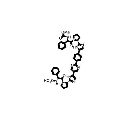 COC(=O)N[C@@H](C(=O)N1CCC[C@H]1c1ncc(-c2ccc(-c3ncc(-c4cnc([C@@H]5CCCN5C(=O)[C@@H](c5ccccc5)N(C)C(=O)O)[nH]4)cn3)cc2)[nH]1)c1ccccc1